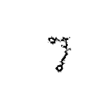 O=C(CN1C(=O)CC1SCc1ccccc1)NCCC#CCCc1ccccc1